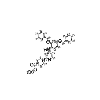 CC(C)(C)OC(=O)N1CCN(c2nccc(Nc3ccc(OCc4ccccc4)nc3OCc3ccccc3)n2)CC1